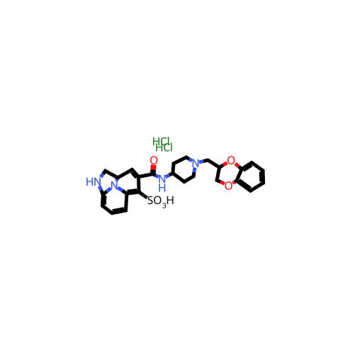 Cl.Cl.O=C(NC1CCN(CC2COc3ccccc3O2)CC1)C1=CC2CNC3=CC=CC(=C1S(=O)(=O)O)N32